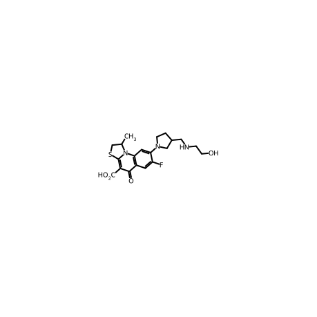 CC1CSc2c(C(=O)O)c(=O)c3cc(F)c(N4CCC(CNCCO)C4)cc3n21